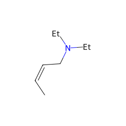 C/C=C\CN(CC)CC